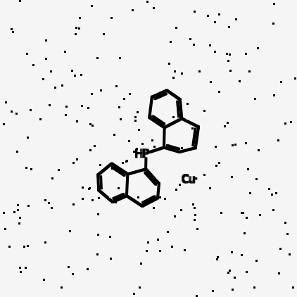 [Cu].c1ccc2c(Pc3cccc4ccccc34)cccc2c1